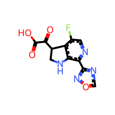 O=C(O)C(=O)C1CNc2c(-c3ncon3)ncc(F)c21